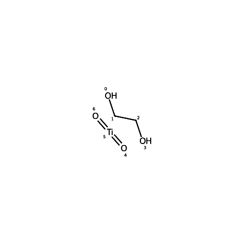 OCCO.[O]=[Ti]=[O]